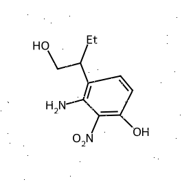 CCC(CO)c1ccc(O)c([N+](=O)[O-])c1N